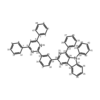 c1ccc(-c2cc(-c3ccccc3)nc(-c3cccc(-c4nc(-c5ccccc5)c5c(n4)c4ccccc4n5-c4ccccc4)c3)n2)cc1